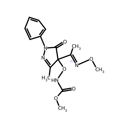 CO/N=C(\C)C1(ONC(=O)OC)C(=O)N(c2ccccc2)N=C1C